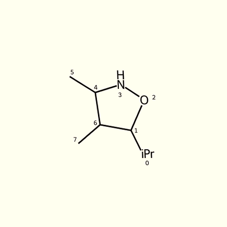 CC(C)C1ONC(C)C1C